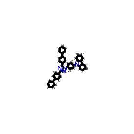 c1ccc(-c2ccc(-c3nc(-c4ccc(-c5ccccc5)cc4)n(-c4ccc(-n5c6ccccc6c6ccccc65)cc4)n3)cc2)cc1